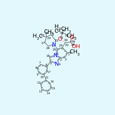 Cc1cc2nc(-c3cccc(-c4ccccc4)c3)cn2c(N2CCC(C)(C)CC2)c1[C@H](OC(C)(C)C)C(=O)O